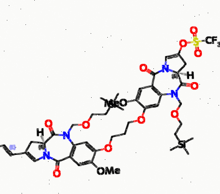 C/C=C/C1=CN2C(=O)c3cc(OC)c(OCCCOc4cc5c(cc4OC)C(=O)N4C=C(OS(=O)(=O)C(F)(F)F)C[C@H]4C(=O)N5COCC[Si](C)(C)C)cc3N(COCC[Si](C)(C)C)C(=O)[C@@H]2C1